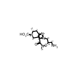 C[C@@H]1Cc2nn3c(c2CN1C(=O)O)C(=O)N(C)OC(CN)C3